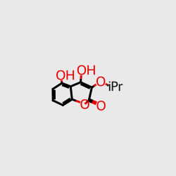 CC(C)Oc1c(O)c2c(O)cccc2oc1=O